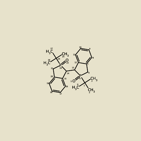 CC(C)(C)P1(=O)Cc2ccccc2C1C1c2ccccc2CP1(=O)C(C)(C)C